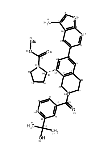 Cc1c[nH]c2ncc(-c3cc4c(c([C@@H]5CCCN5C(=O)OC(C)(C)C)c3)CN(C(=O)c3ccnc(C(C)(C)O)c3)CC4)cc12